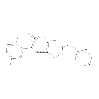 COc1ccc(O)c(-c2cc3cnc(Nc4ccccc4)nc3n(OC)c2=O)c1